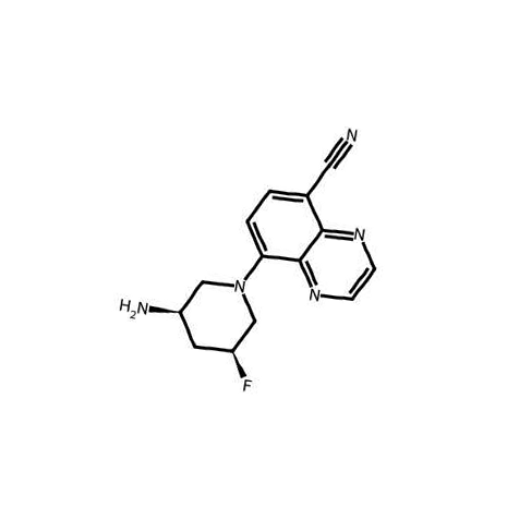 N#Cc1ccc(N2C[C@H](N)C[C@H](F)C2)c2nccnc12